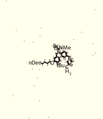 CCCCCCCCCCCCCCOc1cc(CN(C(=O)NC)c2ccc(C[n+]3csc(C)c3)cc2)ccc1C(C)(C)C.[Br-]